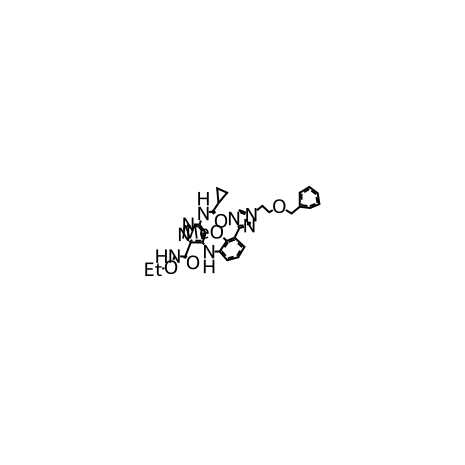 CCONC(=O)c1nnc(NC(=O)C2CC2)cc1Nc1cccc(-c2ncn(CCOCc3ccccc3)n2)c1OC